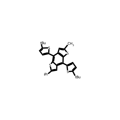 Cc1cc2c(-c3ccc(C(C)(C)C)s3)c3sc(C(C)C)cc3c(-c3ccc(C(C)(C)C)s3)c2s1